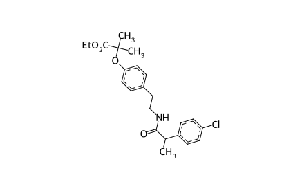 CCOC(=O)C(C)(C)Oc1ccc(CCNC(=O)C(C)c2ccc(Cl)cc2)cc1